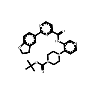 CC(C)(C)OC(=O)N1CCN(c2ccncc2NC(=O)c2ccnc(-c3ccc4c(c3)CCO4)n2)CC1